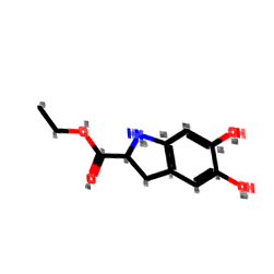 CCOC(=O)C1Cc2cc(O)c(O)cc2N1